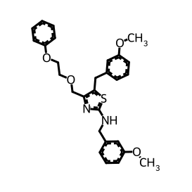 COc1cccc(CNc2nc(COCCOc3ccccc3)c(Cc3cccc(OC)c3)s2)c1